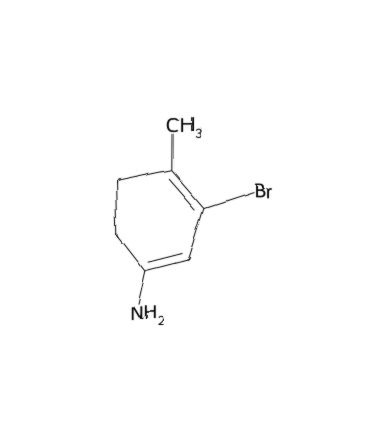 CC1=C(Br)C=C(N)CC1